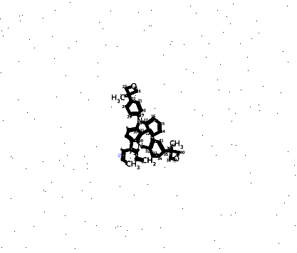 C=Cc1c(/C=C\C)c2ccc3c(c4ccccc4n3-c3ccc(C4(C)COC4)cc3)c2n1-c1ccc(C2(C)COC2)cc1